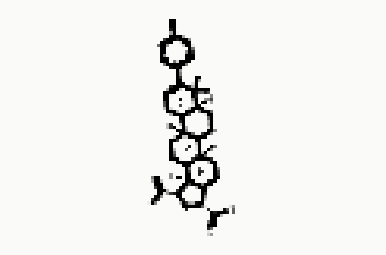 C=C(C)[C@@H]1C[C@@H](C(=O)Cl)C2CC[C@]3(C)[C@H](CC[C@@H]4[C@@]5(C)CC=C(c6ccc(C)cc6)C(C)(C)[C@@H]5CC[C@]43C)[C@H]21